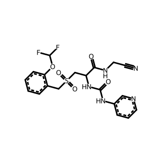 N#CCNC(=O)C(CS(=O)(=O)Cc1ccccc1OC(F)F)NC(=O)Nc1cccnc1